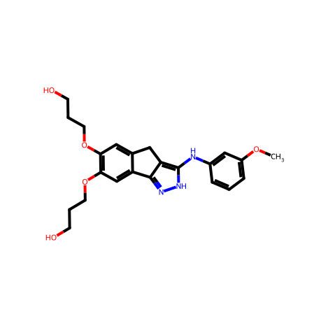 COc1cccc(Nc2[nH]nc3c2Cc2cc(OCCCO)c(OCCCO)cc2-3)c1